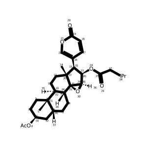 CC(=O)O[C@H]1CC[C@@]2(C)[C@H](CC[C@@H]3[C@@H]2CC[C@]2(C)[C@@H](c4ccc(=O)oc4)[C@@H](OC(=O)CC(C)C)[C@H]4O[C@]342)C1